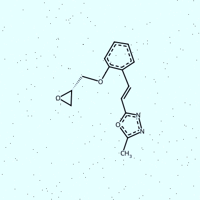 Cc1nnc(C=Cc2ccccc2OC[C@@H]2CO2)o1